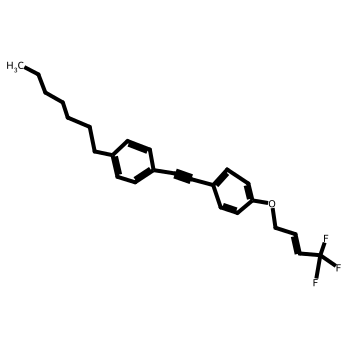 CCCCCCCc1ccc(C#Cc2ccc(OCC=CC(F)(F)F)cc2)cc1